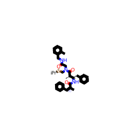 C/C(=C/c1ccccc1)C(=O)N[C@@H](Cc1ccccc1)[C@H](C)C(=O)N(CSC(C)C)CC(=O)NCc1ccccc1C